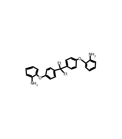 CCC(CC)(c1ccc(Oc2ccccc2N)cc1)c1ccc(Oc2ccccc2N)cc1